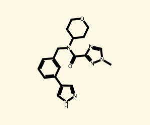 Cn1cnc(C(=O)N(Cc2cccc(-c3cn[nH]c3)c2)C2CCOCC2)n1